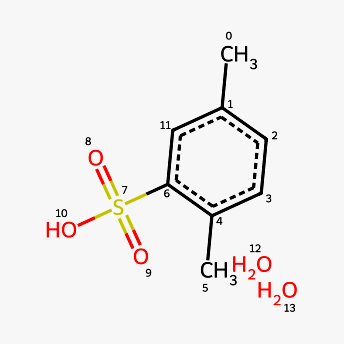 Cc1ccc(C)c(S(=O)(=O)O)c1.O.O